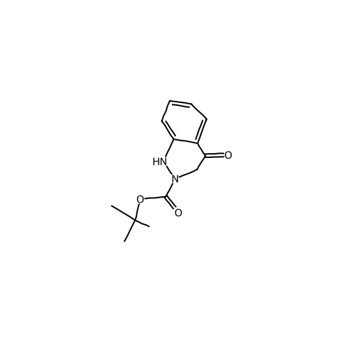 CC(C)(C)OC(=O)N1CC(=O)c2ccccc2N1